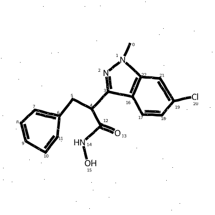 Cn1nc(C(Cc2ccccc2)C(=O)NO)c2ccc(Cl)cc21